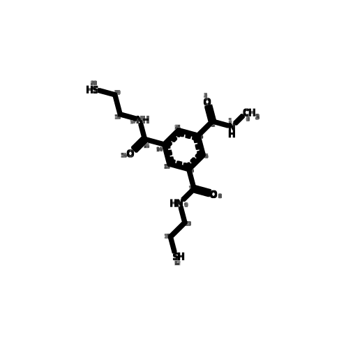 CNC(=O)c1cc(C(=O)NCCS)cc(C(=O)NCCS)c1